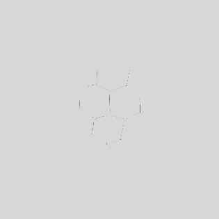 CC(C)N(C(C)C)[SiH](N(C(C)C)C(C)C)N(C(C)C)C(C)C